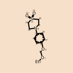 CCOCOc1ccc(N2CCS(=O)(=O)CC2)cc1